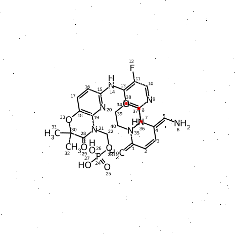 C=C(/C=C\C(=C/N)Nc1ncc(F)c(Nc2ccc3c(n2)N(COP(=O)(O)O)C(=O)C(C)(C)O3)n1)N1CCOCC1